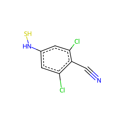 N#Cc1c(Cl)cc(NS)cc1Cl